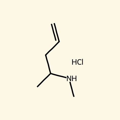 C=CCC(C)NC.Cl